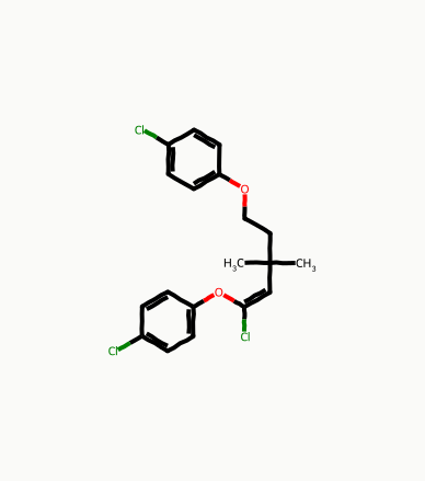 CC(C)(/C=C(/Cl)Oc1ccc(Cl)cc1)CCOc1ccc(Cl)cc1